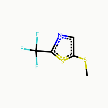 CSc1cnc(C(F)(F)F)s1